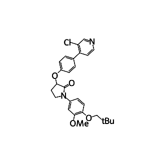 COc1cc(N2CCC(Oc3ccc(-c4ccncc4Cl)cc3)C2=O)ccc1OCC(C)(C)C